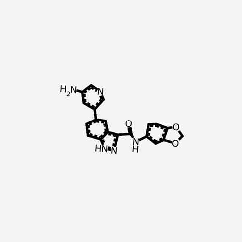 Nc1cncc(-c2ccc3[nH]nc(C(=O)Nc4ccc5c(c4)OCO5)c3c2)c1